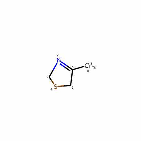 CC1=NCSC1